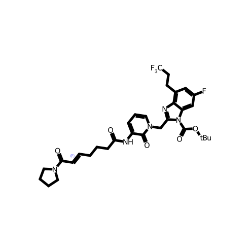 CC(C)(C)OC(=O)n1c(Cn2cccc(NC(=O)CCC/C=C/C(=O)N3CCCC3)c2=O)nc2c(CCC(F)(F)F)cc(F)cc21